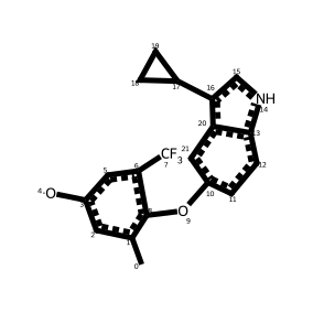 Cc1cc([O])cc(C(F)(F)F)c1Oc1ccc2[nH]cc(C3CC3)c2c1